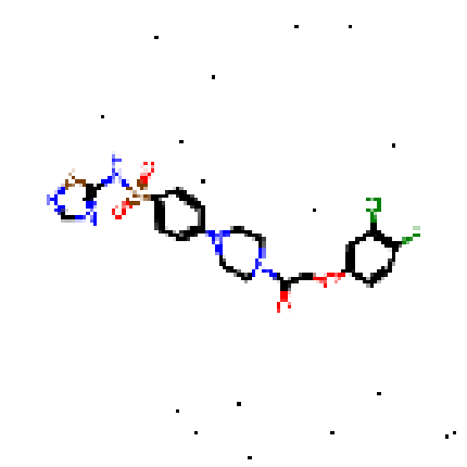 O=C(COc1ccc(F)c(Cl)c1)N1CCN(c2ccc(S(=O)(=O)Nc3ncns3)cc2)CC1